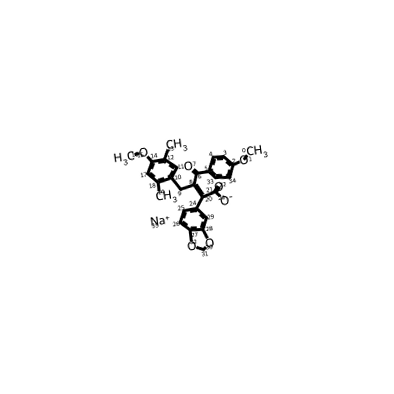 COc1ccc(C(=O)/C(Cc2cc(C)c(OC)cc2C)=C(\C(=O)[O-])c2ccc3c(c2)OCO3)cc1.[Na+]